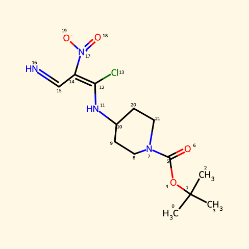 CC(C)(C)OC(=O)N1CCC(N/C(Cl)=C(\C=N)[N+](=O)[O-])CC1